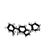 Cc1ccncc1-n1ccc2c(F)c(-c3ccccc3F)ccc21